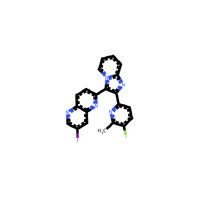 Cc1nc(-c2nc3ccccn3c2-c2ccc3ncc(I)cc3n2)ccc1F